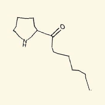 [CH2]CCCCC(=O)C1CCCN1